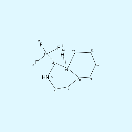 FC(F)(F)C1NCCC2CCCC[C@@H]21